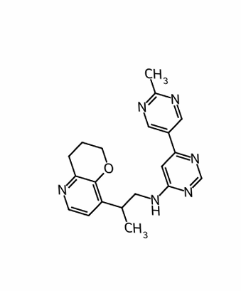 Cc1ncc(-c2cc(NCC(C)c3ccnc4c3OCCC4)ncn2)cn1